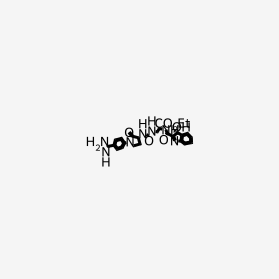 CCOC(=O)[C@H](CNC(=O)NC1CCN(c2ccc(C(=N)N)cc2)C1=O)NC(=O)C1=Nc2ccccc2C1O